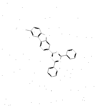 Clc1ccc2sc3cc(-c4nc(-c5ccccc5)nc(-c5ccccc5)n4)ccc3c2c1